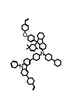 C=CC1=CCC(OC2CC=C(C3(C4CC(C)(C)C=CC4C)C4C=C(N(C5CCC(C6=CC7=C(CC6)N(C6C=CC=CC6)C6CCC(C8CCC(C=C)CC8)C=C76)CC5)C5CCC(C6CCCCC6)CC5)CCC4C4CCCCC43)CC2)CC1